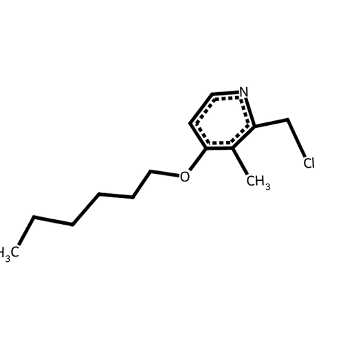 CCCCCCOc1ccnc(CCl)c1C